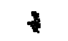 COc1cccc([C@H]2CC[C@H](c3nnc4n3-c3ccc(Cl)cc3CN(C)C4)CC2)n1